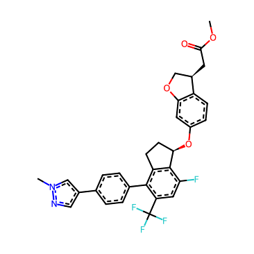 COC(=O)C[C@@H]1COc2cc(O[C@@H]3CCc4c(-c5ccc(-c6cnn(C)c6)cc5)c(C(F)(F)F)cc(F)c43)ccc21